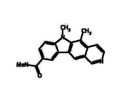 CNC(=O)c1ccc2c(c1)c1cc3cnccc3c(C)c1n2C